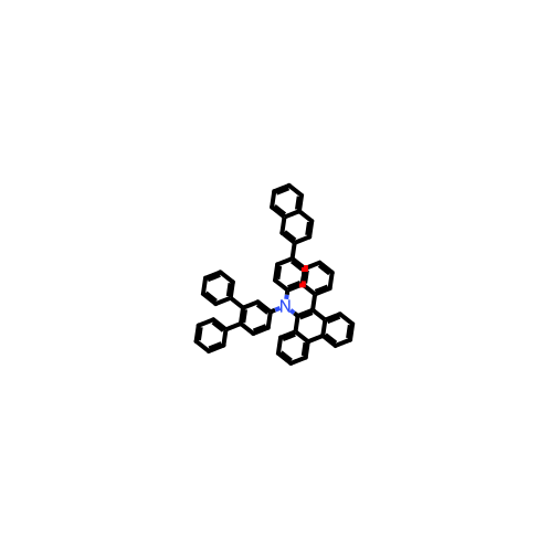 c1ccc(-c2ccc(N(c3ccc(-c4ccc5ccccc5c4)cc3)c3c(-c4ccccc4)c4ccccc4c4ccccc34)cc2-c2ccccc2)cc1